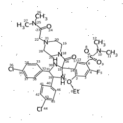 CCOc1cc(F)c(S(=O)(=O)N(C)C)cc1C1(C(=O)N2CCN(CC(=O)N(C)C)CC2)NC(c2ccc(Cl)cc2)C(c2ccc(Cl)cc2)N1